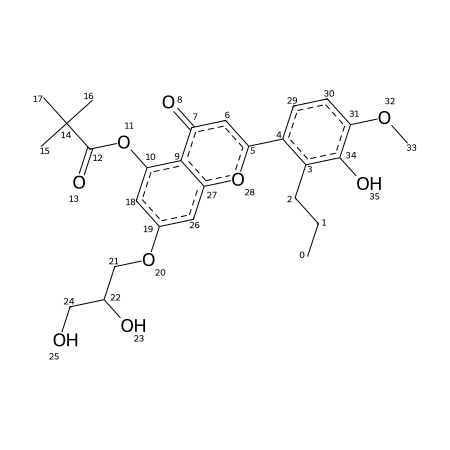 CCCc1c(-c2cc(=O)c3c(OC(=O)C(C)(C)C)cc(OCC(O)CO)cc3o2)ccc(OC)c1O